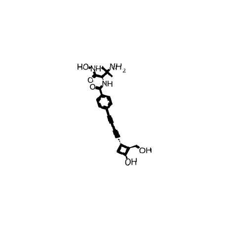 CC(C)(N)[C@H](NC(=O)c1ccc(C#CC#C[C@H]2C[C@H](O)[C@@H]2CO)cc1)C(=O)NO